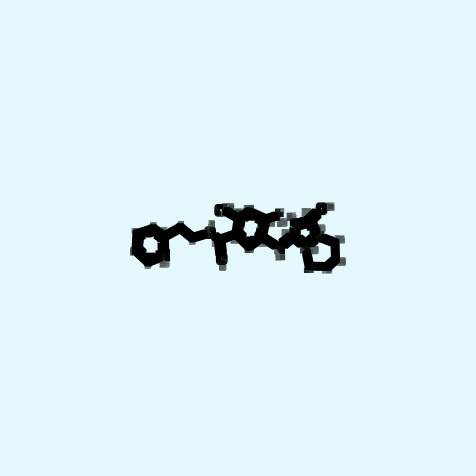 O=C(OCCc1ccccn1)c1cc(N=c2sc(=O)n3n2CCCC3)c(F)cc1Cl